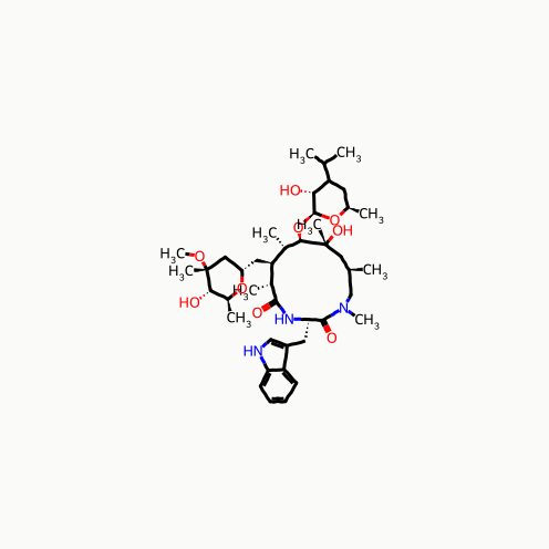 CO[C@]1(C)C[C@H](C[C@H]2[C@H](C)[C@@H](O[C@@H]3O[C@H](C)CC(C(C)C)[C@H]3O)[C@](C)(O)C[C@@H](C)CN(C)C(=O)[C@H](Cc3c[nH]c4ccccc34)NC(=O)[C@@H]2C)O[C@@H](C)[C@@H]1O